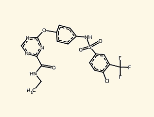 CCNC(=O)c1ncnc(Oc2ccc(NS(=O)(=O)c3ccc(Cl)c(C(F)(F)F)c3)cc2)n1